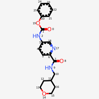 O=C(Nc1ccc(C(=O)NCC2CCOCC2)nc1)Oc1ccccc1